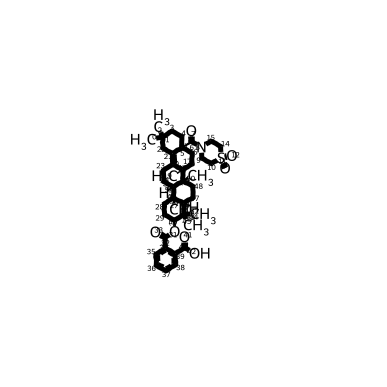 CC1(C)CC[C@]2(C(=O)N3CCS(=O)(=O)CC3)CC[C@]3(C)C(=C2C1)CC[C@@H]1[C@@]2(C)CC[C@H](OC(=O)c4ccccc4C(=O)O)C(C)(C)[C@@H]2CC[C@]13C